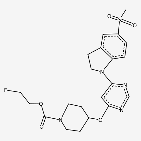 CS(=O)(=O)c1ccc2c(c1)CCN2c1cc(OC2CCN(C(=O)OCCF)CC2)ncn1